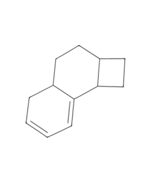 C1=CCC2CCC3CCC3C2=C1